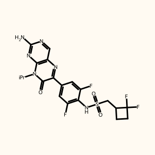 CC(C)n1c(=O)c(-c2cc(F)c(NS(=O)(=O)CC3CCC3(F)F)c(F)c2)nc2cnc(N)nc21